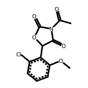 COc1cccc(Cl)c1C1OC(=O)N(C(C)=O)C1=O